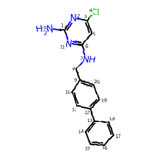 Nc1nc(Cl)cc(NCc2ccc(-c3ccccc3)cc2)n1